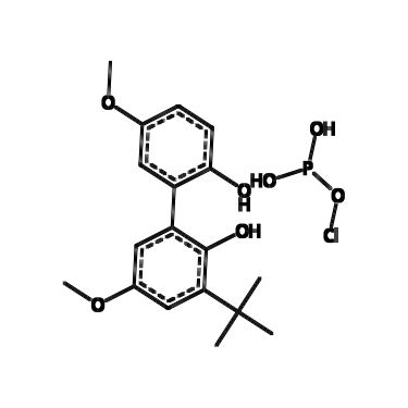 COc1ccc(O)c(-c2cc(OC)cc(C(C)(C)C)c2O)c1.OP(O)OCl